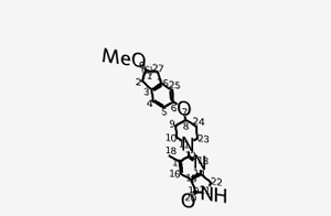 CO[C@H]1Cc2ccc(OC3CCN(c4nc5c(cc4C)C(=O)NC5)CC3)cc2C1